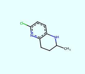 CC1CCc2nc(Cl)ccc2N1